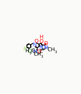 CCN1C[C@H](C)n2c(c(O)c3c(=O)n(Cc4ccc(F)c(Cl)c4)cc(C(=O)N(C)C)c32)C1=O